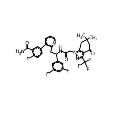 CC1(C)CC(=O)c2c(C(F)(F)F)nn(CC(=O)NC(Cc3ncccc3-c3ccc(F)c(C(N)=O)c3)c3cc(F)cc(F)c3)c2C1